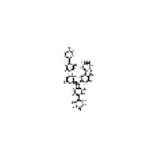 c1ccc(-c2ccc(-c3cccc(N(c4ccc(-c5ccccc5)cc4)c4ccc5oc6cnccc6c5c4)c3)cc2)cc1